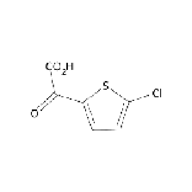 O=C(O)C(=O)c1ccc(Cl)s1